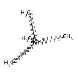 CCCCCCCCCCCCCC[N+](CCC)(CCCCCCCCCCCCCC)CCCCCCCCCCCCCC